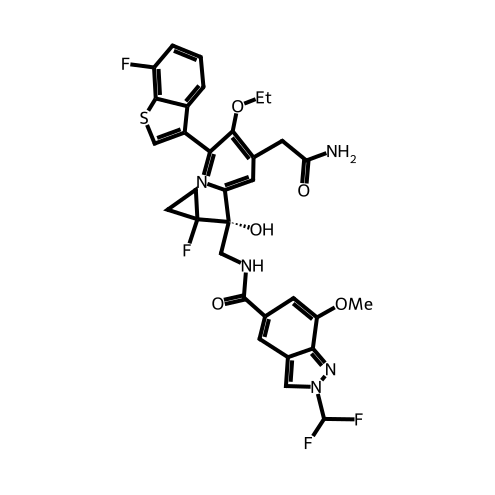 CCOc1c(CC(N)=O)cc([C@@](O)(CNC(=O)c2cc(OC)c3nn(C(F)F)cc3c2)C2(F)CC2)nc1-c1csc2c(F)cccc12